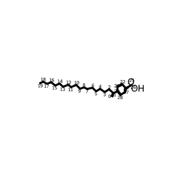 C=C(CCCCCCCCCCCCCCCCCC)c1ccc(C(=O)O)cc1